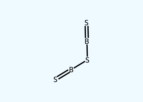 S=BSB=S